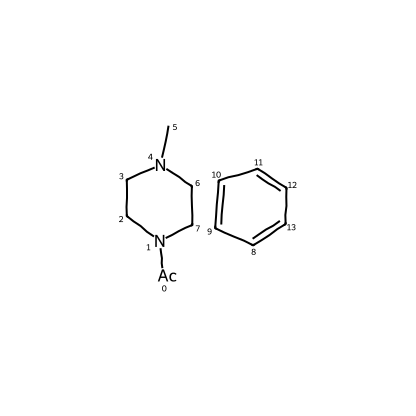 CC(=O)N1CCN(C)CC1.c1ccccc1